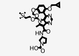 Cc1c(C(=O)N[C@@H]2CCN(C(=O)O)C2)c2ncnc(-c3c(OCC4CC4)ccc4c3OCO4)c2n1COCC[Si](C)(C)C